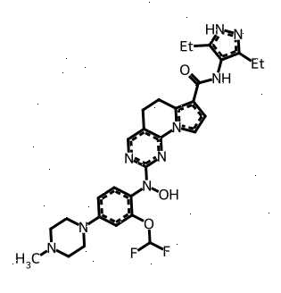 CCc1n[nH]c(CC)c1NC(=O)c1ccn2c1CCc1cnc(N(O)c3ccc(N4CCN(C)CC4)cc3OC(F)F)nc1-2